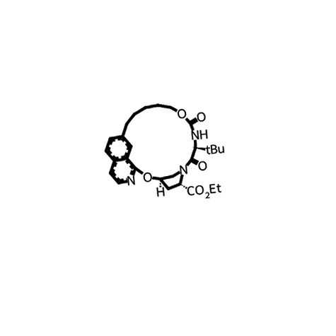 CCOC(=O)[C@@H]1C[C@@H]2CN1C(=O)[C@H](C(C)(C)C)NC(=O)OCCCCCc1ccc3ccnc(c3c1)O2